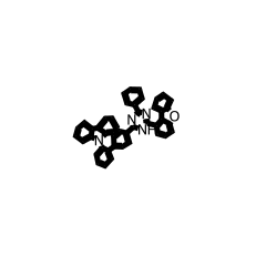 c1ccc(C2=NC(c3ccc(-c4ccccc4-n4c5ccccc5c5ccccc54)cc3)NC(c3cccc4oc5ccccc5c34)=N2)cc1